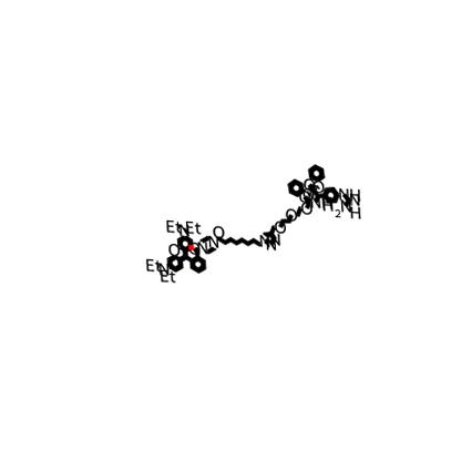 CCN(CC)c1ccc2c(-c3ccccc3C(=O)N3CCN(C(=O)CCCCCCCn4cc(COCCOCCOC(=O)NC(c5ccc(NC(=N)N)cc5)P(=O)(Oc5ccccc5)Oc5ccccc5)nn4)CC3)c3ccc(=[N+](CC)CC)cc-3oc2c1